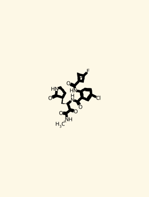 CNC(=O)C(=O)[C@H](C[C@@H]1CCNC1=O)NC(=O)c1cc(Cl)ccc1NC(=O)C12CC(F)(C1)C2